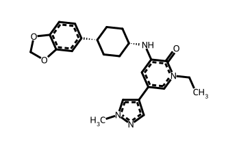 CCn1cc(-c2cnn(C)c2)cc(N[C@H]2CC[C@@H](c3ccc4c(c3)OCO4)CC2)c1=O